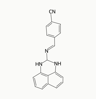 N#Cc1ccc(C=NC2Nc3cccc4cccc(c34)N2)cc1